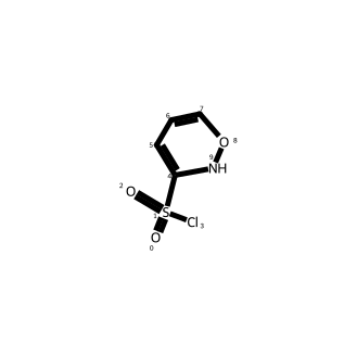 O=S(=O)(Cl)C1=CC=CON1